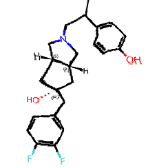 CC(CN1C[C@@H]2C[C@@](O)(Cc3ccc(F)c(F)c3)C[C@@H]2C1)c1ccc(O)cc1